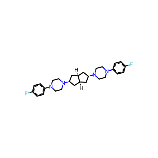 Fc1ccc(N2CCN([C@H]3C[C@H]4C[C@@H](N5CCN(c6ccc(F)cc6)CC5)C[C@H]4C3)CC2)cc1